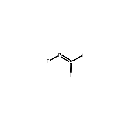 FP=S(I)I